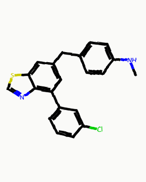 CNc1ccc(Cc2cc(-c3cccc(Cl)c3)c3ncsc3c2)cc1